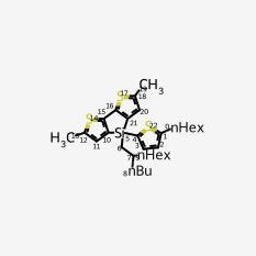 CCCCCCc1ccc([Si]2(CC(CCCC)CCCCCC)c3cc(C)sc3-c3sc(C)cc32)s1